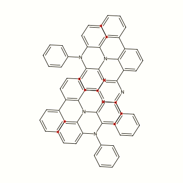 c1ccc(-c2nc(-c3cccc(-c4ccccc4)c3N3c4ccccc4N(c4ccccc4)c4ccccc43)nc(-c3cccc(-c4ccccc4)c3N3c4ccccc4N(c4ccccc4)c4ccccc43)n2)cc1